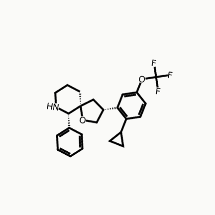 FC(F)(F)Oc1ccc(C2CC2)c([C@@H]2CO[C@]3(CCCN[C@H]3c3ccccc3)C2)c1